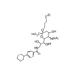 CCSCCCO[C@]1(C(=O)O)CC(O)[C@@H](NC(C)=O)C(C(O)[C@H](O)CNC(=O)c2ccc(C3CCCCC3)cc2)O1